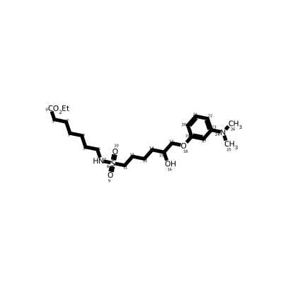 CCOC(=O)CCCCCCNS(=O)(=O)CCCCC(O)COc1cccc(N(C)C)c1